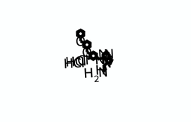 Cl.Cl.NCCn1ccc2ncnc(Nc3ccc(Oc4cccc(Oc5ccccc5)c4)c(Cl)c3)c21